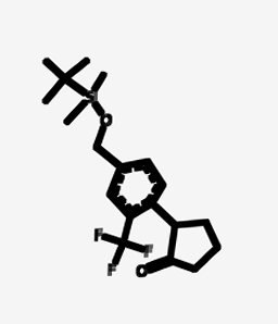 CC(C)(C)[Si](C)(C)OCc1ccc(C2CCCC2=O)c(C(F)(F)F)c1